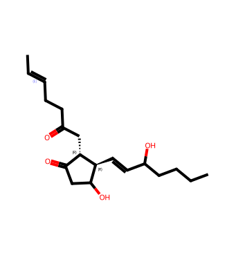 C/C=C/CCC(=O)C[C@H]1C(=O)CC(O)[C@@H]1C=CC(O)CCCC